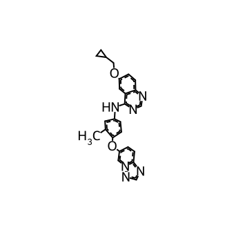 Cc1cc(Nc2ncnc3ccc(OCC4CC4)cc23)ccc1Oc1ccc2ncnn2c1